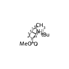 COC(=O)c1ccc2cc(C)n(CC(C)(C)C)c2c1